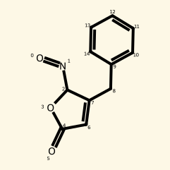 O=NC1OC(=O)C=C1Cc1ccccc1